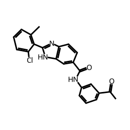 CC(=O)c1cccc(NC(=O)c2ccc3nc(-c4c(C)cccc4Cl)[nH]c3c2)c1